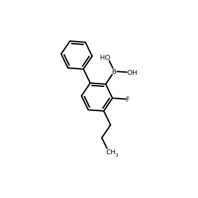 CCCc1ccc(-c2ccccc2)c(B(O)O)c1F